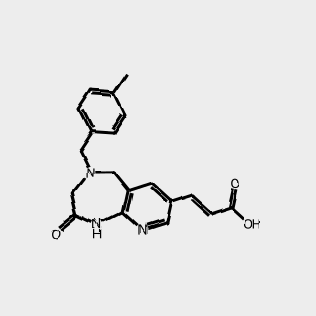 Cc1ccc(CN2CC(=O)Nc3ncc(/C=C/C(=O)O)cc3C2)cc1